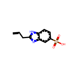 C=CCc1nc2cc(S(=O)(=O)O)ccc2[nH]1